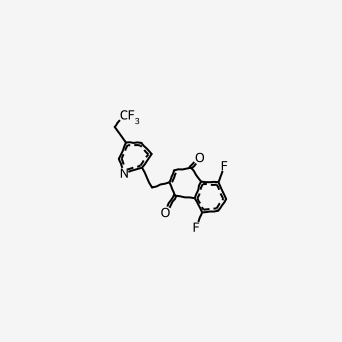 O=C1C=C(Cc2ccc(CC(F)(F)F)cn2)C(=O)c2c(F)ccc(F)c21